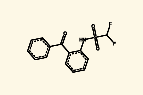 O=C(c1ccccc1)c1ccccc1NS(=O)(=O)C(F)F